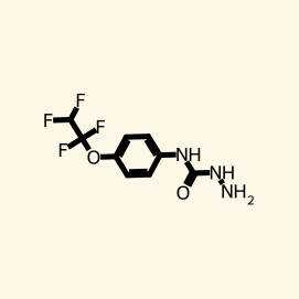 NNC(=O)Nc1ccc(OC(F)(F)C(F)F)cc1